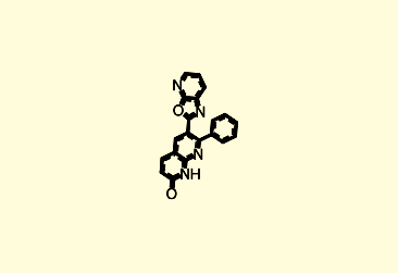 O=c1ccc2cc(-c3nc4cccnc4o3)c(-c3ccccc3)nc2[nH]1